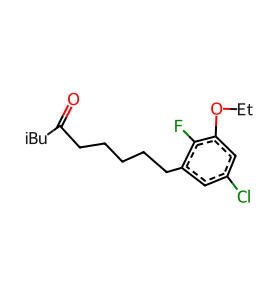 CCOc1cc(Cl)cc(CCCCCC(=O)C(C)CC)c1F